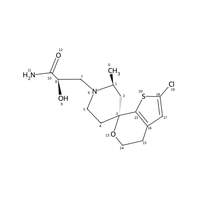 C[C@H]1C[C@@]2(CCN1C[C@@H](O)C(N)=O)OCCc1cc(Cl)sc12